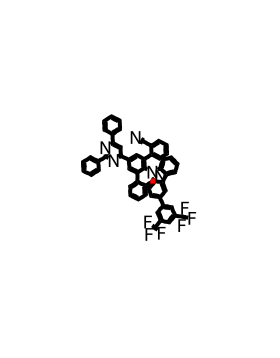 N#Cc1ccccc1-c1cc(-c2cc(-c3ccccc3)nc(-c3ccccc3)n2)cc(-c2ccccc2C#N)c1-n1c2ccccc2c2cc(-c3cc(C(F)(F)F)cc(C(F)(F)F)c3)ccc21